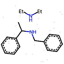 CC(NCc1ccccc1)c1ccccc1.CCNCC